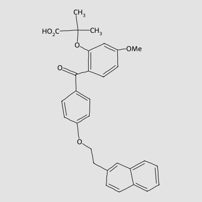 COc1ccc(C(=O)c2ccc(OCCc3ccc4ccccc4c3)cc2)c(OC(C)(C)C(=O)O)c1